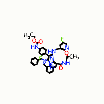 CCOC(=O)Nc1ccc(-c2c3nc4c(cnn4c2N(Cc2ccccc2)Cc2ccccc2)C(=O)NC[C@H](C)Oc2ncc(F)cc2CN3)c(F)c1